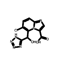 O=C(O)c1cnc2ccc(Cl)c(C(O)c3nnn[nH]3)n12